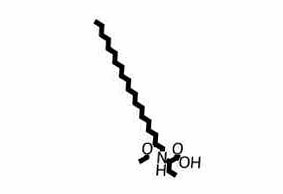 CCCCCCCCCCCCCCCCCCC(CNC(CC)C(=O)O)OCC